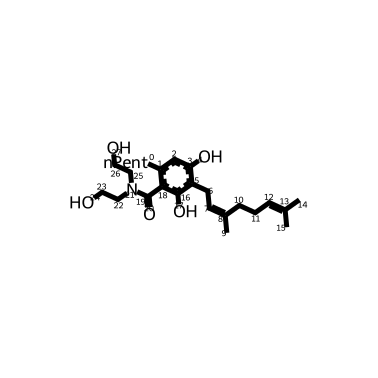 CCCCCc1cc(O)c(CC=C(C)CCC=C(C)C)c(O)c1C(=O)N(CCO)CCO